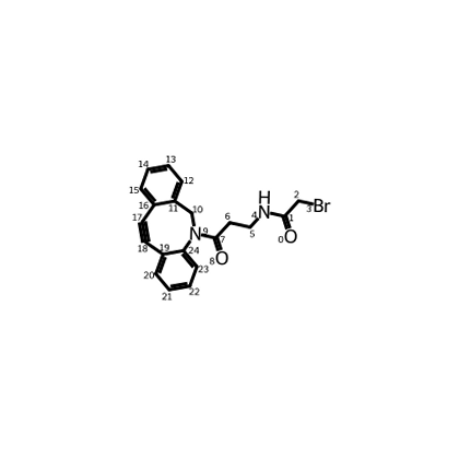 O=C(CBr)NCCC(=O)N1Cc2ccccc2C#Cc2ccccc21